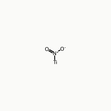 O=[N+]([O-])[Ti]